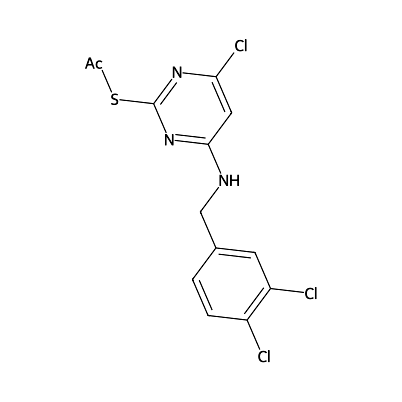 CC(=O)Sc1nc(Cl)cc(NCc2ccc(Cl)c(Cl)c2)n1